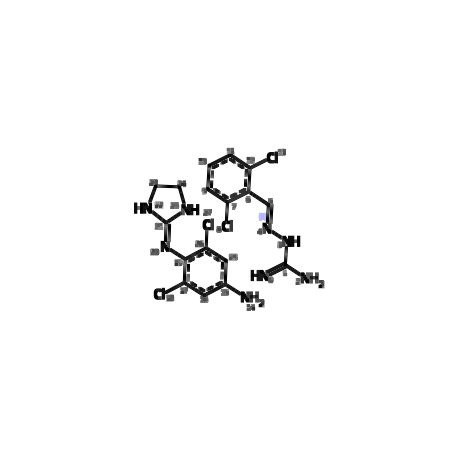 N=C(N)N/N=C/c1c(Cl)cccc1Cl.Nc1cc(Cl)c(N=C2NCCN2)c(Cl)c1